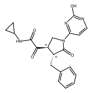 O=C(NC1CC1)C(=O)[C@H]1CN(c2ccnc(O)n2)C(=O)[C@@H]1Cc1ccccc1